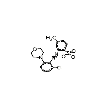 Cc1ccc(S(=O)(=O)[O-])cc1.N#[N+]c1c(Cl)cccc1N1CCOCC1